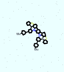 CC(C)(C)c1ccc(-c2ccc3c(c2)B2c4ccccc4Sc4ccc5c6cc7c8ccc9c%10c8n(c7cc6n-3c5c42)-c2ccc(-c3ccc(C(C)(C)C)cc3)cc2C%10c2ccccc2S9)cc1